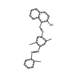 Cc1ccccc1N=Nc1cc(C)c(N=Nc2c(O)ccc3ccccc23)cc1C